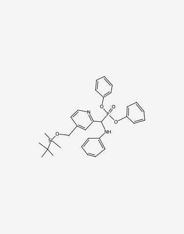 CC(C)(C)[Si](C)(C)OCc1ccnc(C(Nc2ccccc2)P(=O)(Oc2ccccc2)Oc2ccccc2)c1